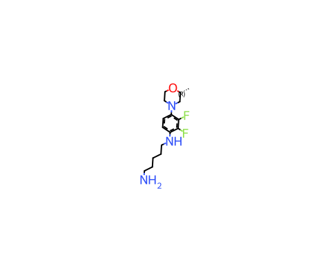 C[C@@H]1CN(c2ccc(NCCCCCN)c(F)c2F)CCO1